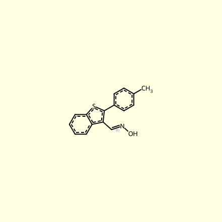 Cc1ccc(-c2sc3ccccc3c2/C=N/O)cc1